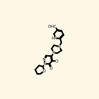 O=CC1=CC=C(CN2CCN(c3cnn(C4CCCCO4)c(=O)c3Cl)CC2)NC1